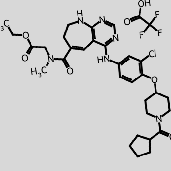 CCOC(=O)CN(C)C(=O)C1=Cc2c(ncnc2Nc2ccc(OC3CCN(C(=O)C4CCCC4)CC3)c(Cl)c2)NCC1.O=C(O)C(F)(F)F